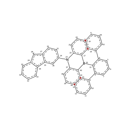 c1ccc(-c2cccc(-c3ccccc3)c2B2c3ccccc3N(c3ccc4sc5ccccc5c4c3)c3ccccc32)cc1